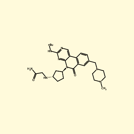 CCCCNc1ncc2c3ccc(CN4CCN(C)CC4)cc3c(=O)n([C@H]3CC[C@H](NCC(N)=O)C3)c2n1